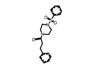 O=C(CCc1ccccc1)N1CCN(S(=O)(=O)c2ccccc2)CC1